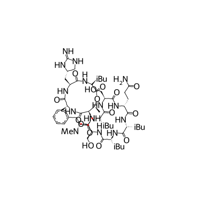 CC[C@H](C)C1NC(=O)[C@H](C[C@H]2CNC(=N)N2)NC(=O)[C@H](C)NC(=O)[C@H](NC(=O)[C@H](CO)NC(=O)[C@@H](NC(=O)[C@H](NC(=O)[C@@H](CCC(N)=O)NC(=O)[C@H](CO)NC(=O)[C@@H](NC(=O)[C@@H](Cc2ccccc2)NC)[C@@H](C)CC)[C@@H](C)CC)[C@@H](C)CC)[C@H](C)OC1=O